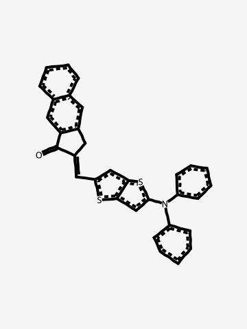 O=C1/C(=C/c2cc3sc(N(c4ccccc4)c4ccccc4)cc3s2)Cc2cc3ccccc3cc21